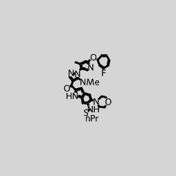 CCCSNc1cc2[nH]c(C(=O)c3cnn(-c4cnc(OC5C=CC=CC(F)=C5)cc4C)c3NC)cc2cc1N1CCOCC1